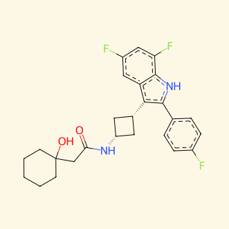 O=C(CC1(O)CCCCC1)N[C@H]1C[C@@H](c2c(-c3ccc(F)cc3)[nH]c3c(F)cc(F)cc32)C1